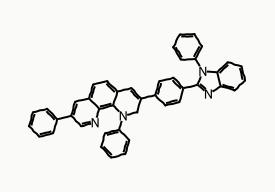 C1=C(c2ccc(-c3nc4ccccc4n3-c3ccccc3)cc2)CN(c2ccccc2)c2c1ccc1cc(-c3ccccc3)cnc21